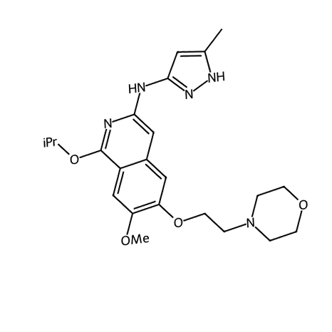 COc1cc2c(OC(C)C)nc(Nc3cc(C)[nH]n3)cc2cc1OCCN1CCOCC1